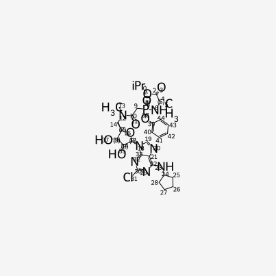 CC(C)OC(=O)[C@H](C)NP(=O)(CC(=O)N(C)C[C@H]1O[C@@H](n2cnc3c(NC4CCCC4)nc(Cl)nc32)[C@H](O)[C@@H]1O)Oc1ccccc1